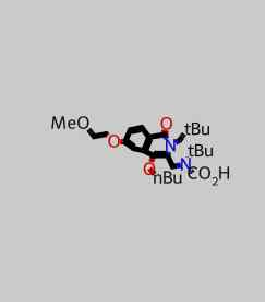 CCCCOc1c(CN(C(=O)O)C(C)(C)C)n(CC(C)(C)C)c(=O)c2ccc(OCCOC)cc12